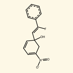 O=[N+]([O-])C1=CC=CC(O)(/C=C(\F)c2ccccc2)C1